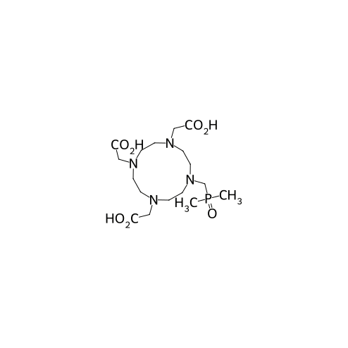 CP(C)(=O)CN1CCN(CC(=O)O)CCN(CC(=O)O)CCN(CC(=O)O)CC1